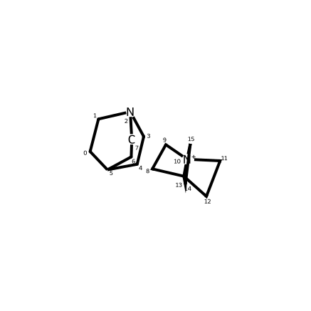 C1CN2CCC1CC2.C1C[N+]23CCC12CC3